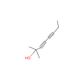 CCC#CC#CC(C)(C)O